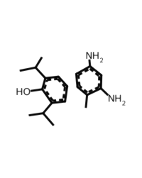 CC(C)c1cccc(C(C)C)c1O.Cc1ccc(N)cc1N